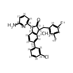 C[C@@]1(Cc2cc(F)cc(F)c2)C(=O)N(c2cccc(N)n2)c2ccc(-c3cccc(Cl)c3)cc21